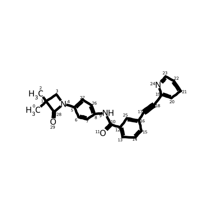 CC1(C)CN(c2ccc(NC(=O)c3cccc(C#Cc4ccccn4)c3)cc2)C1=O